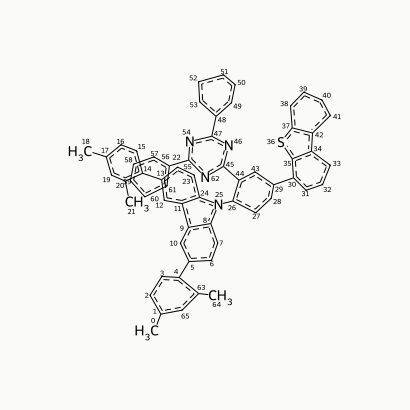 Cc1ccc(-c2ccc3c(c2)c2cc(-c4ccc(C)cc4C)ccc2n3-c2ccc(-c3cccc4c3sc3ccccc34)cc2-c2nc(-c3ccccc3)nc(-c3ccccc3)n2)c(C)c1